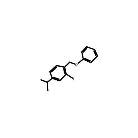 CC(C)c1ccc(COc2ccccc2)c(F)c1